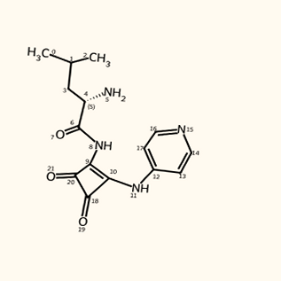 CC(C)C[C@H](N)C(=O)Nc1c(Nc2ccncc2)c(=O)c1=O